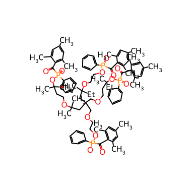 CCC(C)(CC(COCCOP(=O)(C(=O)c1c(C)cc(C)cc1C)c1ccccc1)(COCCC(C)(CC)OP(=O)(C(=O)c1c(C)cc(C)cc1C)c1ccccc1)CC(C)(C)OCCC(C)(C)OP(=O)(C(=O)c1c(C)cc(C)cc1C)c1ccccc1)OCCOP(=O)(C(=O)c1c(C)cc(C)cc1C)c1ccccc1